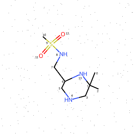 CC1(C)CNCC(CNS(C)(=O)=O)N1